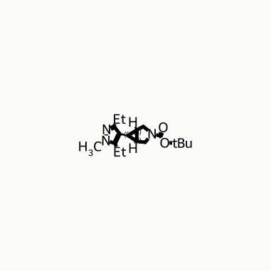 CCc1nn(C)c(CC)c1[C@H]1[C@@H]2CN(C(=O)OC(C)(C)C)C[C@@H]21